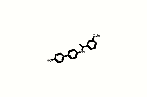 COc1cccc(C(C)Nc2ccc(-c3ccc(O)cc3)cc2)c1